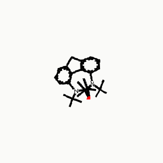 CC(C)(C)N(c1cccc2c1-c1c(cccc1N(C(C)(C)C)C(C)(C)C)C2)C(C)(C)C